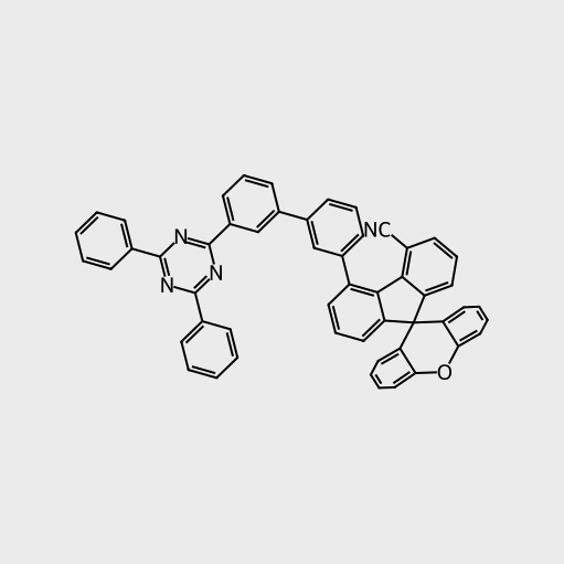 N#Cc1cccc2c1-c1c(-c3cccc(-c4cccc(-c5nc(-c6ccccc6)nc(-c6ccccc6)n5)c4)c3)cccc1C21c2ccccc2Oc2ccccc21